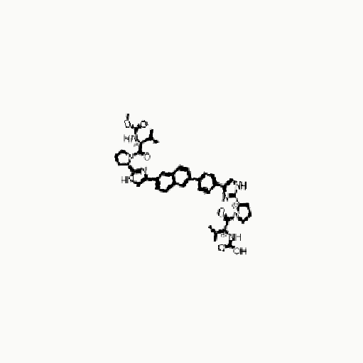 COC(=O)N[C@H](C(=O)N1CCCC1c1nc(-c2ccc3cc(-c4ccc(-c5c[nH]c([C@@H]6CCCN6C(=O)[C@@H](NC(=O)O)C(C)C)n5)cc4)ccc3c2)c[nH]1)C(C)C